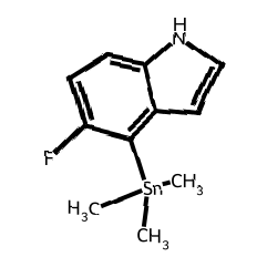 [CH3][Sn]([CH3])([CH3])[c]1c(F)ccc2[nH]ccc12